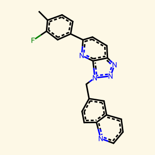 Cc1ccc(-c2ccc3nnn(Cc4ccc5ncccc5c4)c3n2)cc1F